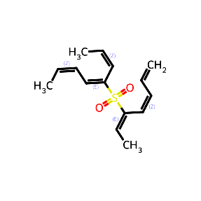 C=C/C=C\C(=C/C)S(=O)(=O)C(/C=C\C)=C/C=C\C